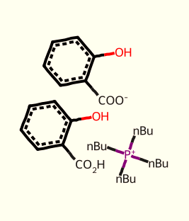 CCCC[P+](CCCC)(CCCC)CCCC.O=C(O)c1ccccc1O.O=C([O-])c1ccccc1O